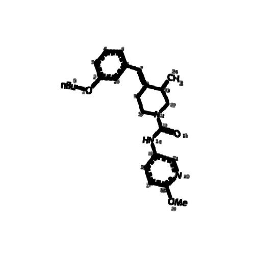 CCCCOc1cccc(/C=C2\CCN(C(=O)Nc3ccc(OC)nc3)CC2C)c1